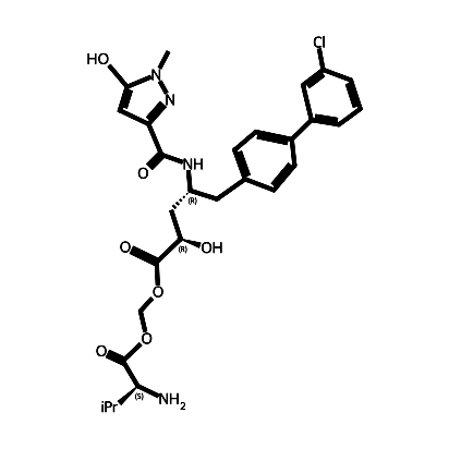 CC(C)[C@H](N)C(=O)OCOC(=O)[C@H](O)C[C@@H](Cc1ccc(-c2cccc(Cl)c2)cc1)NC(=O)c1cc(O)n(C)n1